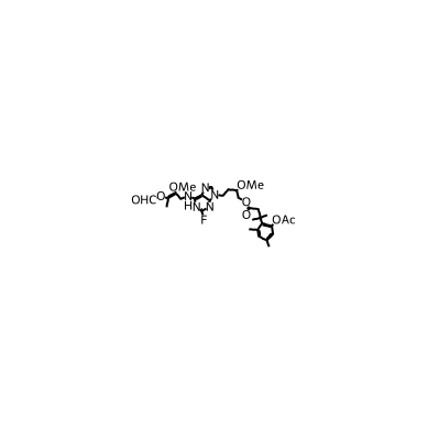 CO/C(CNc1nc(F)nc2c1ncn2CCC(COC(=O)CC(C)(C)c1c(C)cc(C)cc1OC(C)=O)OC)=C(/C)OC=O